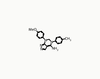 COc1ccc(N2CN(c3ccc(C)cc3)C(N)=C3C=NN=C32)cc1